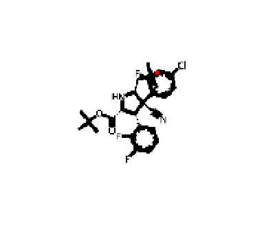 CC(C)(C)C[C@@H]1N[C@@H](C(=O)OC(C)(C)C)[C@@H](c2cccc(F)c2F)[C@@]1(C#N)c1ccc(Cl)cc1F